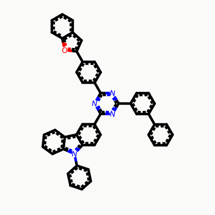 c1ccc(-c2cccc(-c3nc(-c4ccc(-c5cc6ccccc6o5)cc4)nc(-c4ccc5c(c4)c4ccccc4n5-c4ccccc4)n3)c2)cc1